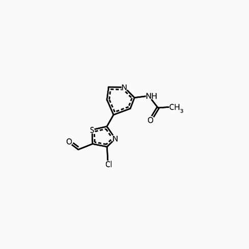 CC(=O)Nc1cc(-c2nc(Cl)c(C=O)s2)ccn1